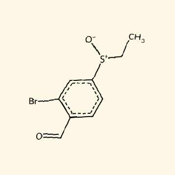 CC[S+]([O-])c1ccc(C=O)c(Br)c1